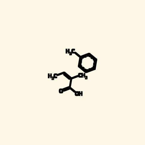 CC=C(C)C(=O)O.Cc1ccccc1